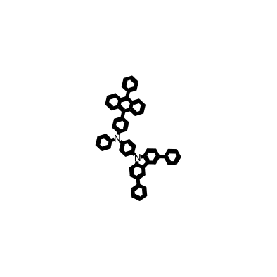 C1=CC2C(C=C1c1ccccc1)c1cc(-c3ccccc3)ccc1N2c1ccc(N(c2ccccc2)c2ccc(-c3c4ccccc4c(-c4ccccc4)c4ccccc34)cc2)cc1